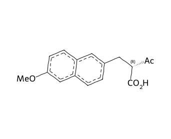 COc1ccc2cc(C[C@H](C(C)=O)C(=O)O)ccc2c1